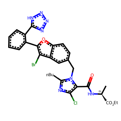 CCCCc1nc(Cl)c(C(=O)N[C@@H](C)C(=O)OCC)n1Cc1ccc2oc(-c3ccccc3-c3nnn[nH]3)c(Br)c2c1